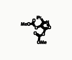 COC(=O)Oc1onc(C(C)C)c1OC(=O)OC